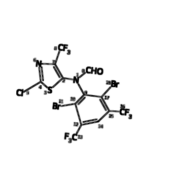 O=CN(c1sc(Cl)nc1C(F)(F)F)c1c(Br)c(C(F)(F)F)cc(C(F)(F)F)c1Br